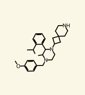 COc1ccc(CN2CCN(C3CC4(CCNCC4)C3)C(c3ccccc3C(C)C)C2C)cc1